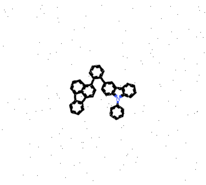 c1ccc(-n2c3ccccc3c3cc(-c4ccccc4-c4ccc5c6c(cccc46)-c4ccccc4-5)ccc32)cc1